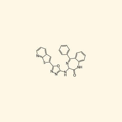 O=C1Nc2ccccc2C(c2ccccc2)=NC1Nc1nnc(-c2cc3cccnc3s2)o1